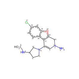 NN1C=C(N2CCC(NC(=O)O)C2)c2c(oc3cc(Cl)ccc23)C1